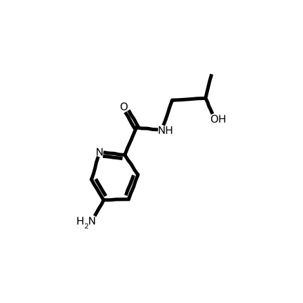 CC(O)CNC(=O)c1ccc(N)cn1